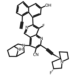 C#Cc1cccc2cc(O)cc(-c3ncc4c(N5CC6CCC(C5)N6)c(C#N)c(C#C[C@@]56CCCN5C[C@H](F)C6)nc4c3F)c12